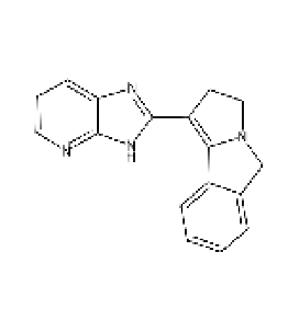 c1ccc2c(c1)CN1CCC(c3nc4cccnc4[nH]3)=C21